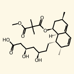 COC(=O)C(C)(C)C(=O)O[C@H]1C[C@@H](C)C=C2C=C[C@H](C)[C@H](CC[C@@H](O)C[C@@H](O)CC(=O)O)[C@H]21